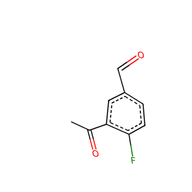 CC(=O)c1cc(C=O)ccc1F